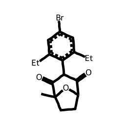 CCc1cc(Br)cc(CC)c1C1C(=O)C2CCC(C)(O2)C1=O